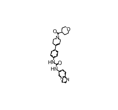 O=C(Nc1ccc(C2=CCN(C(=O)C3CCOCC3)CC2)cc1)Nc1ccc2nccn2c1